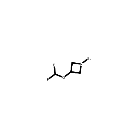 CCN1CC(OC(F)F)C1